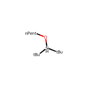 CCCCCO[SiH](C(C)(C)C)C(C)(C)C